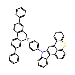 c1ccc(-c2ccc3c(c2)C[C@H](c2ccc(-n4c5ccccc5c5c6cccc7c6c(cc54)-c4ccccc4S7)cc2)c2cc(-c4ccccc4)ccc2-3)cc1